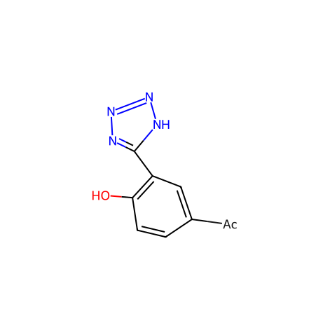 CC(=O)c1ccc(O)c(-c2nnn[nH]2)c1